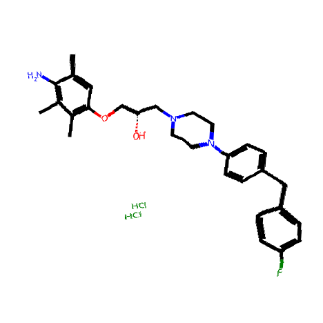 Cc1cc(OC[C@@H](O)CN2CCN(c3ccc(Cc4ccc(F)cc4)cc3)CC2)c(C)c(C)c1N.Cl.Cl